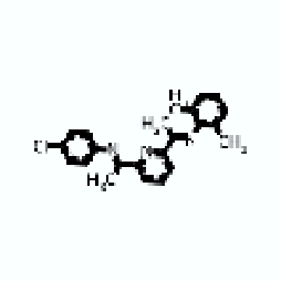 C/C(=N\c1ccc(Cl)cc1)c1cccc(/C(C)=N/c2c(C)cccc2C)n1